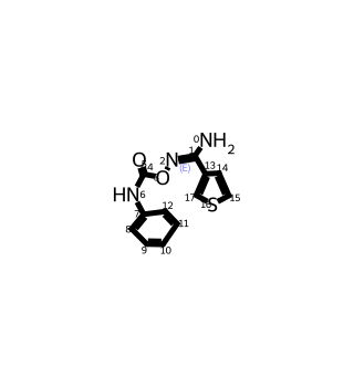 N/C(=N/OC(=O)Nc1ccccc1)c1ccsc1